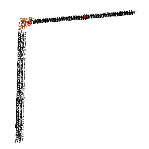 O=CS.O=CS.O=CS.O=CS.O=CS.[Na+].[Na+].[Na+].[Na+].[Na+].[Na+].[Na+].[Na+].[Na+].[Na+].[Na+].[Na+].[Na+].[Na+].[Na+].[Na+].[Na+].[Na+].[Na+].[Na+].[Na+].[Na+].[Na+].[Na+].[Na+].[Na+].[Na+].[Na+].[Na+].[Na+].[Na+].[Na+].[Na+].[Na+].[Na+].[Na+].[Na+].[Na+].[Na+].[Na+].[Na+].[Na+].[Na+].[Na+].[Na+].[Na+].[Na+].[Na+].[Na+].[Na+].[Na+].[Na+].[Na+].[Na+].[Na+].[Na+].[Na+].[Na+].[Na+].[Na+].[Na+].[Na+].[Na+].[Na+].[Na+].[Na+].[Na+].[Na+].[Na+].[Na+].[Na+].[Na+].[Na+].[Na+].[Na+].[Na+].[Na+].[Na+].[Na+].[Na+].[Na+].[Na+].[Na+].[Na+].[Na+].[Na+].[Na+].[Na+].[Na+].[Na+].[Na+].[Na+].[Na+].[Na+].[Na+].[Na+].[Na+].[Na+].[Na+].[Na+].[Na+].[Na+].[Na+].[Na+].[Na+].[Na+].[Na+].[Na+].[Na+].[Na+].[Na+].[Na+].[Na+].[Na+].[Na+].[Na+].[Na+].[Na+]